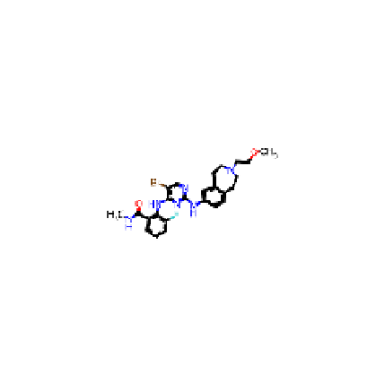 CNC(=O)c1cccc(F)c1Nc1nc(Nc2ccc3c(c2)CCN(CCOC)CC3)ncc1Br